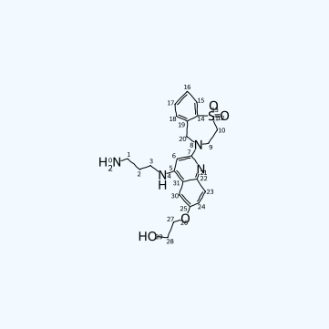 NCCCNc1cc(N2CCS(=O)(=O)c3ccccc3C2)nc2ccc(OCCO)cc12